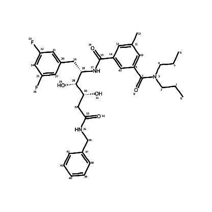 CCCN(CCC)C(=O)c1cc(C)cc(C(=O)N[C@@H](Cc2cc(F)cc(F)c2)[C@@H](O)[C@H](O)CC(=O)NCc2ccccc2)c1